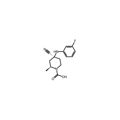 C[C@H]1C[C@@](C#N)(Nc2cccc(F)c2)CCN1C(=O)O